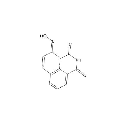 O=C1NC(=O)C2C(=NO)C=Cc3cccc1c32